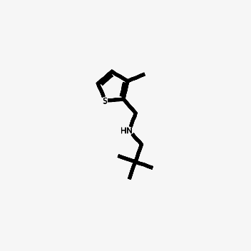 Cc1ccsc1CNCC(C)(C)C